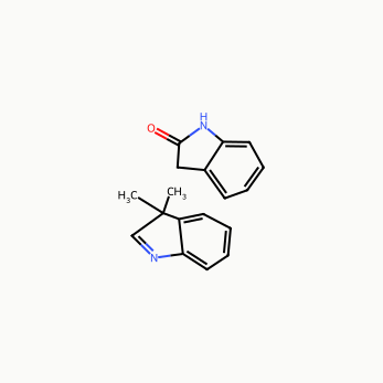 CC1(C)C=Nc2ccccc21.O=C1Cc2ccccc2N1